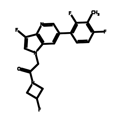 Cc1c(F)ccc(-c2cnc3c(F)cn(CC(=O)N4CC(F)C4)c3c2)c1F